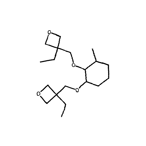 CCC1(COC2CCCC(C)C2OCC2(CC)COC2)COC1